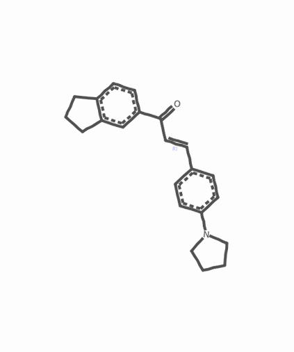 O=C(/C=C/c1ccc(N2CCCC2)cc1)c1ccc2c(c1)CCC2